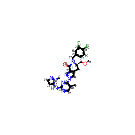 COC[C@H]1Cc2cn(-c3nc(Nc4ccnn4C)ncc3C)nc2C(=O)N1Cc1ccc(F)c(F)c1